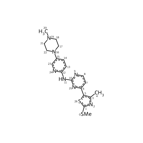 CSc1nc(C)c(-c2ccnc(Nc3ccc(N4CCN(C)CC4)cn3)n2)s1